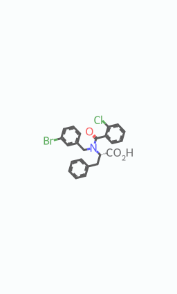 O=C(O)[C@H](Cc1ccccc1)N(Cc1cccc(Br)c1)C(=O)c1ccccc1Cl